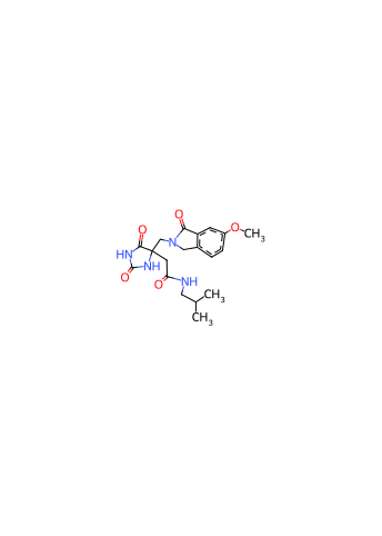 COc1ccc2c(c1)C(=O)N(CC1(CC(=O)NCC(C)C)NC(=O)NC1=O)C2